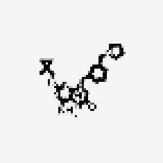 CC1(COc2nc(N)c3c(n2)N(Cc2cccc(CN4CCCC4)c2)CC(=O)N3)CC1